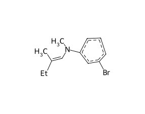 CC/C(C)=C/N(C)c1cccc(Br)c1